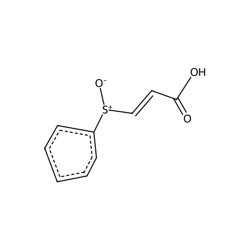 O=C(O)C=C[S+]([O-])c1ccccc1